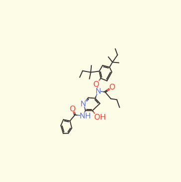 CCCC(=O)N(Oc1ccc(C(C)(C)CC)cc1C(C)(C)CC)c1cnc(NC(=O)c2ccccc2)c(O)c1